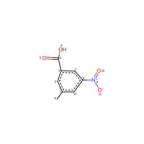 Cc1cc(C(=O)O)cc([N+](=O)[O-])c1